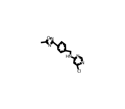 Cc1nc(-c2ccc(CNc3cc(Cl)ncn3)cc2)no1